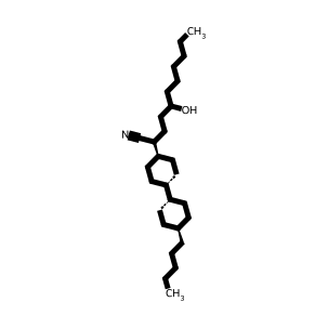 CCCCCCC(O)CCC(C#N)[C@H]1CC[C@H]([C@H]2CC[C@H](CCCCC)CC2)CC1